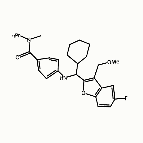 CCCN(C)C(=O)c1ccc(NC(c2oc3ccc(F)cc3c2COC)C2CCCCC2)cc1